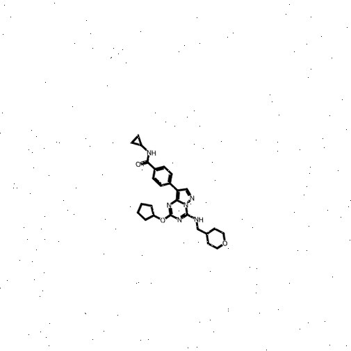 O=C(NC1CC1)c1ccc(-c2cnn3c(NCC4CCOCC4)nc(OC4CCCC4)nc23)cc1